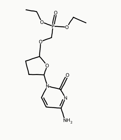 CCOP(=O)(COC1CCC(n2ccc(N)nc2=O)O1)OCC